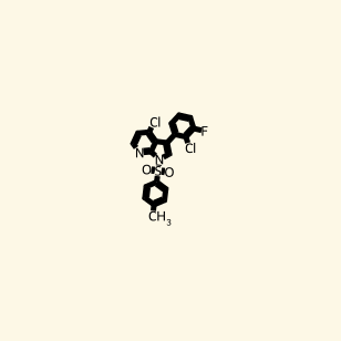 Cc1ccc(S(=O)(=O)n2cc(-c3cccc(F)c3Cl)c3c(Cl)ccnc32)cc1